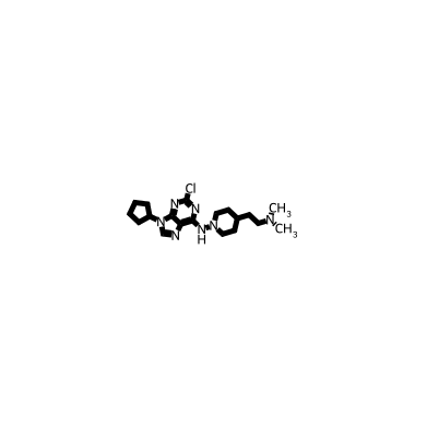 CN(C)CCC1CCN(Nc2nc(Cl)nc3c2ncn3C2CCCC2)CC1